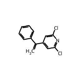 C=C(c1ccccc1)c1cc(Cl)nc(Cl)c1